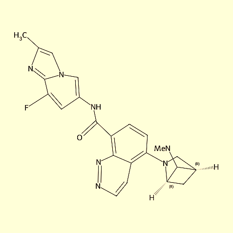 CNC1[C@@H]2C[C@H]1N(c1ccc(C(=O)Nc3cc(F)c4nc(C)cn4c3)c3nnccc13)C2